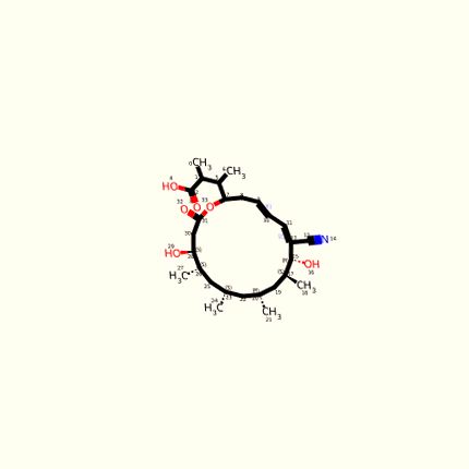 CC(C(=O)O)C(C)C1C/C=C/C=C(/C#N)[C@H](O)[C@@H](C)C[C@H](C)C[C@H](C)C[C@H](C)[C@@H](O)CC(=O)O1